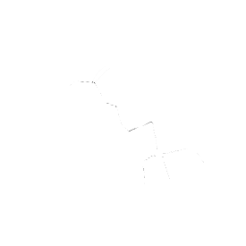 CCOC(=O)CC(=O)OCCC[Si](C)(OCC)OCC